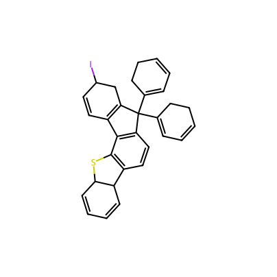 IC1C=CC2=C(C1)C(C1=CC=CCC1)(C1=CC=CCC1)c1ccc3c(c12)SC1C=CC=CC31